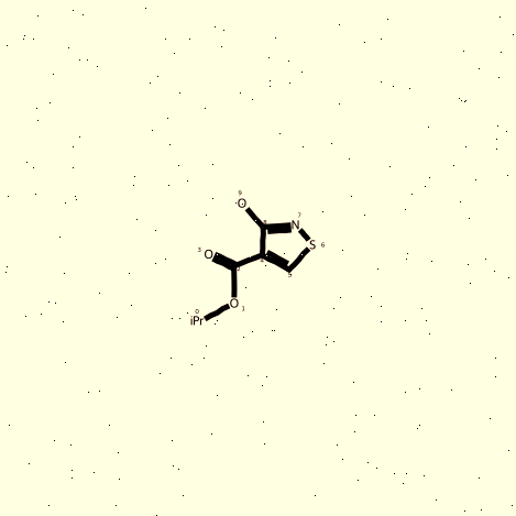 CC(C)OC(=O)c1csnc1[O]